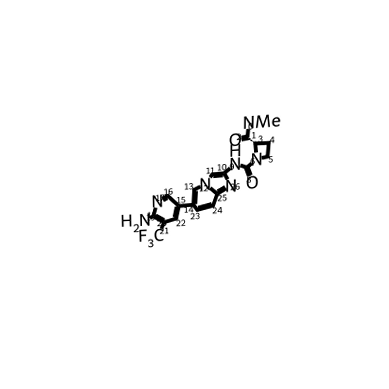 CNC(=O)[C@@H]1CCN1C(=O)Nc1cn2cc(-c3cnc(N)c(C(F)(F)F)c3)ccc2n1